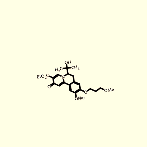 CCOC(=O)c1cn2c(cc1=O)-c1cc(OC)c(OCCCOC)cc1CC2C(C)(C)O